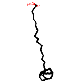 O=C(O)CCCCCCCCCCCCCCCC12CC3CC(CC(C3)C1)C2